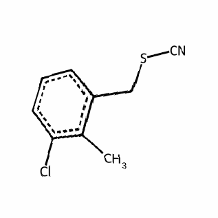 Cc1c(Cl)cccc1CSC#N